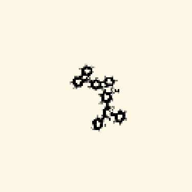 N#Cc1cc(-c2cc(-c3ccccc3)nc(-c3ccccc3)n2)ccc1-n1c2ccccc2c2cc(-n3c4ccccc4c4ccccc43)ccc21